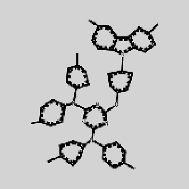 Cc1ccc(N(c2ccc(C)cc2)c2nc(Oc3ccc(-n4c5ccc(C)cc5c5cc(C)ccc54)cc3)nc(N(c3ccc(C)cc3)c3ccc(C)cc3)n2)cc1